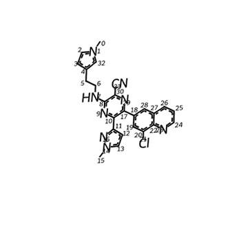 Cn1ccc(CCNc2nc(-c3ccn(C)n3)c(-c3cc(Cl)c4ncccc4c3)nc2C#N)c1